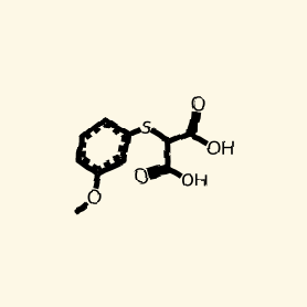 COc1cccc(SC(C(=O)O)C(=O)O)c1